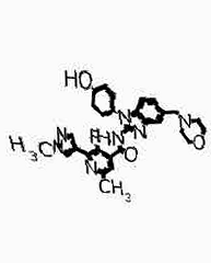 Cc1cc(C(=O)Nc2nc3cc(CN4CCOCC4)ccc3n2[C@H]2CC[C@@H](O)CC2)c(F)c(-c2cnn(C)c2)n1